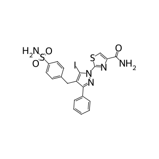 NC(=O)c1csc(-n2nc(-c3ccccc3)c(Cc3ccc(S(N)(=O)=O)cc3)c2I)n1